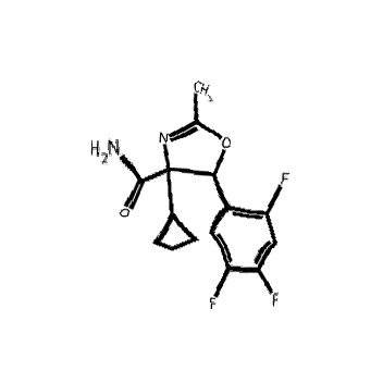 CC1=NC(C(N)=O)(C2CC2)C(c2cc(F)c(F)cc2F)O1